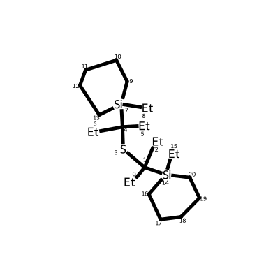 CCC(CC)(SC(CC)(CC)[Si]1(CC)CCCCC1)[Si]1(CC)CCCCC1